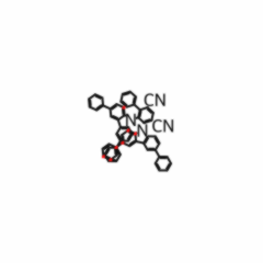 N#Cc1cc(C#N)c(-n2c3ccc(-c4ccccc4)cc3c3cc(-c4ccccc4)ccc32)c(-n2c3ccc(-c4ccccc4)cc3c3cc(-c4ccccc4)ccc32)c1-c1ccccc1